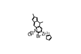 CC1=CC2=Cc3nc(Br)[c]([Zr+2][C]4=CC=CC4)cc3C(C)C2=C1.[Cl-].[Cl-]